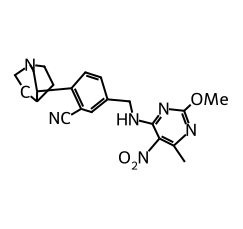 COc1nc(C)c([N+](=O)[O-])c(NCc2ccc(C3CN4CCC3CC4)c(C#N)c2)n1